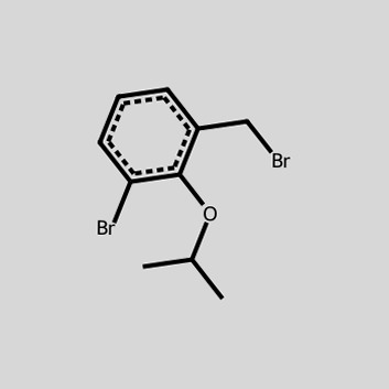 CC(C)Oc1c(Br)cccc1CBr